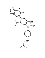 CCC(CC)CN[C@H]1CC[C@@H](n2c(=O)[nH]c3cc(-c4cn5ncnc5c(C)c4C)c(C(C)C)cc32)CC1